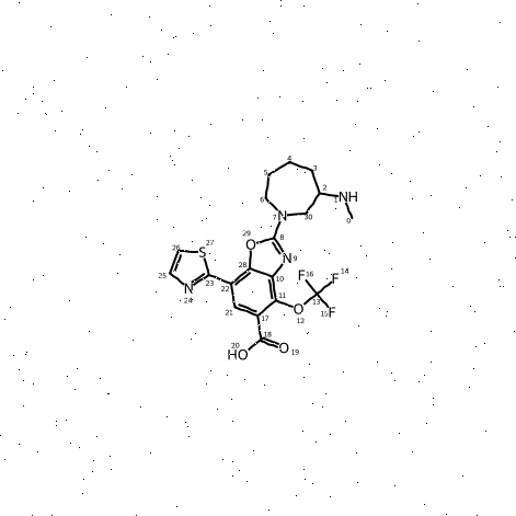 CNC1CCCCN(c2nc3c(OC(F)(F)F)c(C(=O)O)cc(-c4nccs4)c3o2)C1